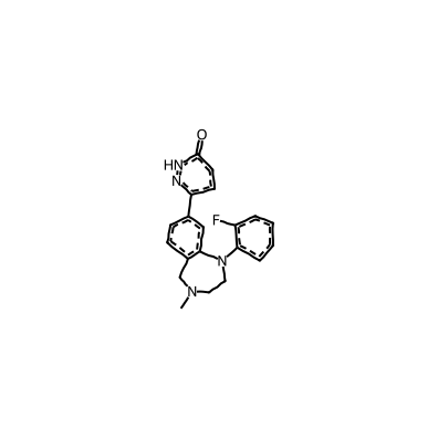 CN1CCN(c2ccccc2F)c2cc(-c3ccc(=O)[nH]n3)ccc2C1